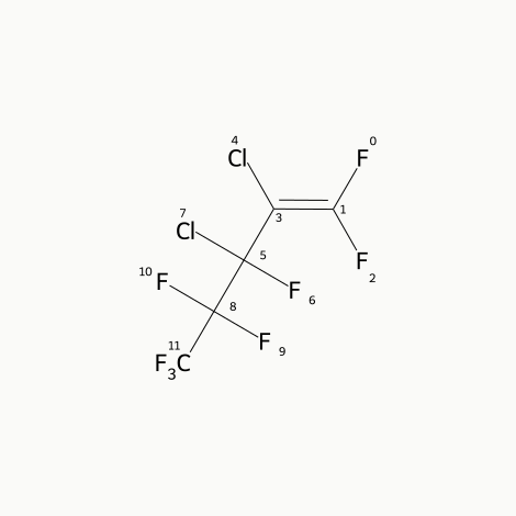 FC(F)=C(Cl)C(F)(Cl)C(F)(F)C(F)(F)F